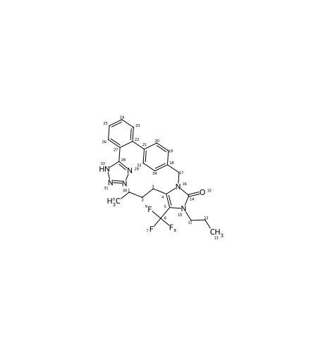 CCCCc1c(C(F)(F)F)n(CCC)c(=O)n1Cc1ccc(-c2ccccc2-c2nnn[nH]2)cc1